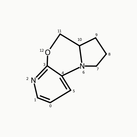 c1cnc2c(c1)N1CCCC1CO2